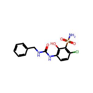 NS(=O)(=O)c1c(Cl)ccc(NC(=O)NCc2ccccc2)c1O